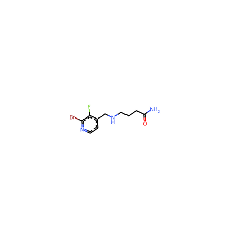 NC(=O)CCCNCc1ccnc(Br)c1F